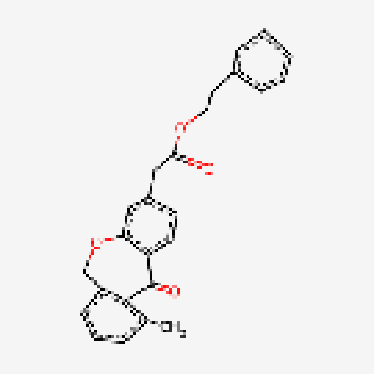 Cc1cccc2c1C(=O)c1ccc(CC(=O)OCCc3ccccc3)cc1OC2